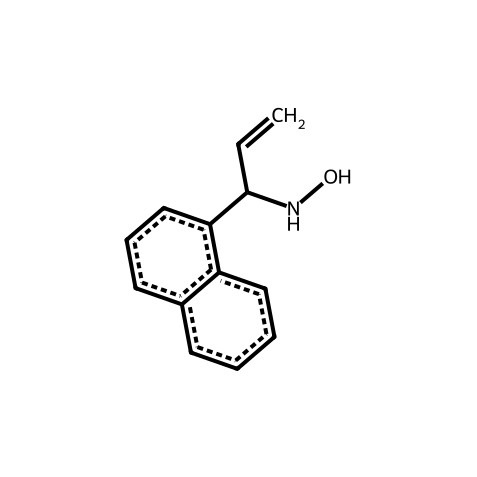 C=CC(NO)c1cccc2ccccc12